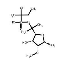 B[C@@H]1O[C@H](C(C)(C)OP(=O)(O)C(C)(O)CC)[C@@H](O)[C@H]1OC